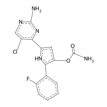 NC(=O)Oc1cc(-c2nc(N)ncc2Cl)[nH]c1-c1ccccc1F